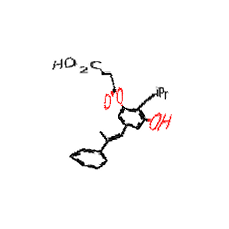 CC(=Cc1cc(O)c(C(C)C)c(OC(=O)CCC(=O)O)c1)c1ccccc1